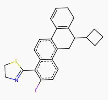 Ic1ccc2c3c(ccc2c1C1=NCCS1)C1=C(CCC=C1)C(C1CCC1)C3